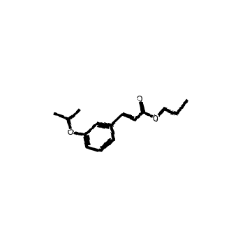 CCCOC(=O)C=Cc1cccc(OC(C)C)c1